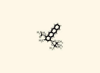 Cc1cc(B2OC(C)(C)C(C)(C)O2)c2cc3cc4ccccc4cc3cc2c1C.NC=O